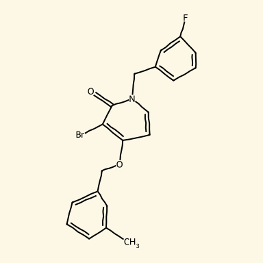 Cc1cccc(COc2ccn(Cc3cccc(F)c3)c(=O)c2Br)c1